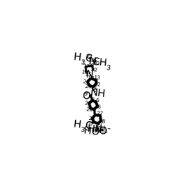 Cc1cc(-c2ccc(C(=O)Nc3ccc(N4CCC(N(C)C)C4)cc3)cc2)ccc1[NH+]([O-])O